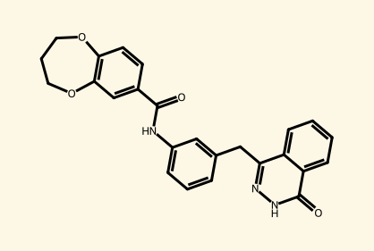 O=C(Nc1cccc(Cc2n[nH]c(=O)c3ccccc23)c1)c1ccc2c(c1)OCCCO2